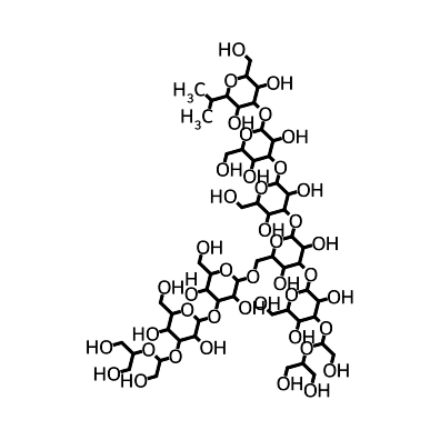 CC(C)C1OC(CO)C(O)C(OC2OC(CO)C(O)C(OC3OC(CO)C(O)C(OC4OC(COC5OC(CO)C(O)C(OC6OC(CO)C(O)C(OC(CO)OC(CO)CO)C6O)C5O)C(O)C(OC5OC(CO)C(O)C(OC(CO)OC(CO)CO)C5O)C4O)C3O)C2O)C1O